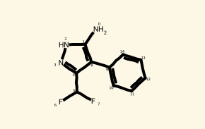 Nc1[nH]nc(C(F)F)c1-c1ccccc1